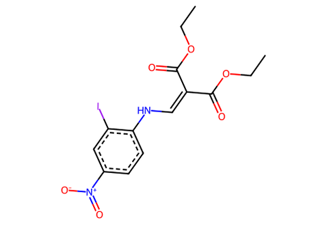 CCOC(=O)C(=CNc1ccc([N+](=O)[O-])cc1I)C(=O)OCC